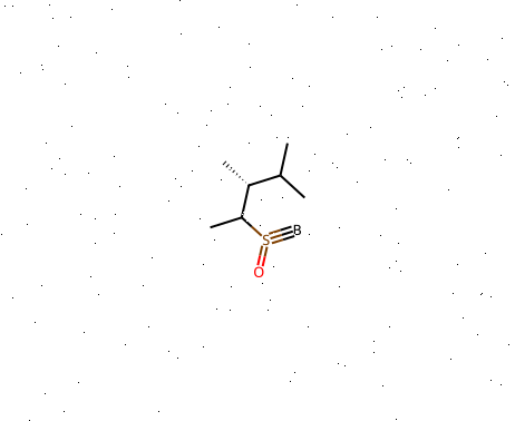 B#S(=O)C(C)[C@H](C)C(C)C